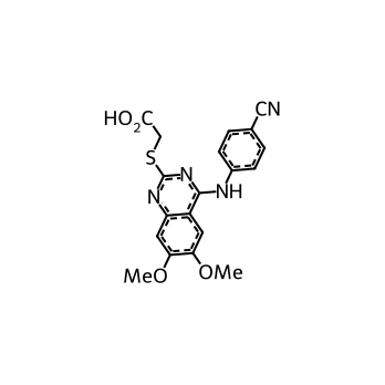 COc1cc2nc(SCC(=O)O)nc(Nc3ccc(C#N)cc3)c2cc1OC